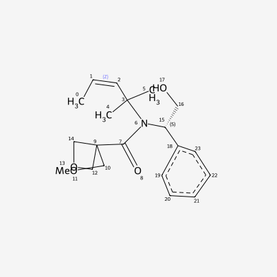 C/C=C\C(C)(C)N(C(=O)C1(COC)COC1)[C@H](CO)c1ccccc1